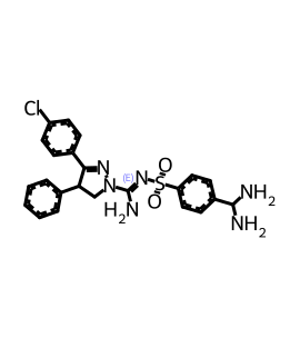 N/C(=N\S(=O)(=O)c1ccc(C(N)N)cc1)N1CC(c2ccccc2)C(c2ccc(Cl)cc2)=N1